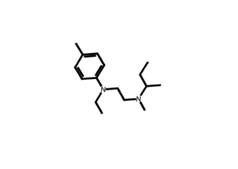 CCC(C)N(C)CCN(CC)c1ccc(C)cc1